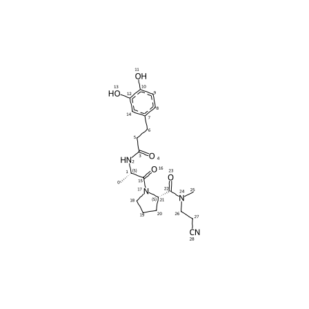 C[C@H](NC(=O)CCc1ccc(O)c(O)c1)C(=O)N1CCC[C@H]1C(=O)N(C)CCC#N